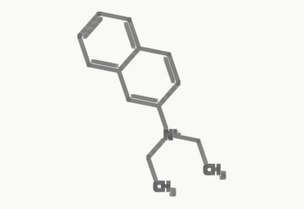 CC[N+](CC)c1ccc2ccccc2c1